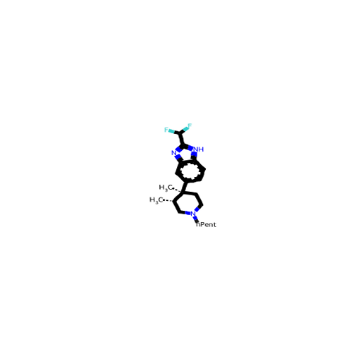 CCCCCN1CC[C@](C)(c2ccc3[nH]c(C(F)F)nc3c2)[C@@H](C)C1